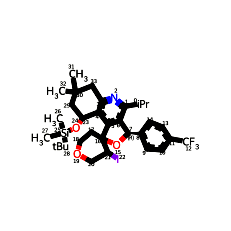 CC(C)c1nc2c(c3c1[C@@H](c1ccc(C(F)(F)F)cc1)OC31CCOCC1I)C(O[Si](C)(C)C(C)(C)C)CC(C)(C)C2